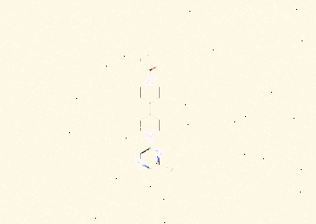 [C-]#[N+]c1cncc(N2CCC(C3CCN(C(=O)OC(C)(C)C)CC3)CC2)n1